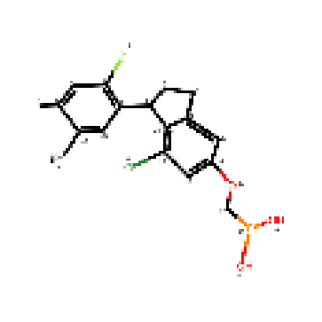 Cc1cc(F)c(C2CCc3cc(OCP(O)O)cc(Cl)c32)cc1C(C)C